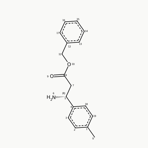 Cc1ccc([C@H](N)CC(=O)OCc2ccccc2)cc1